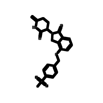 C=C1CCC(N2Cc3c(OCc4ccc(S(C)(=O)=O)cc4)cccc3C2=O)C(=O)N1